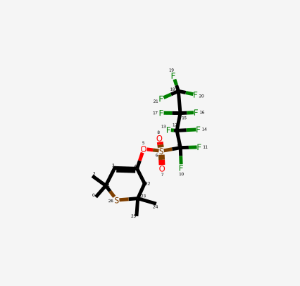 CC1(C)C=C(OS(=O)(=O)C(F)(F)C(F)(F)C(F)(F)C(F)(F)F)CC(C)(C)S1